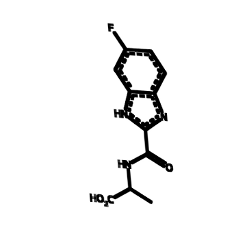 CC(NC(=O)c1nc2ccc(F)cc2[nH]1)C(=O)O